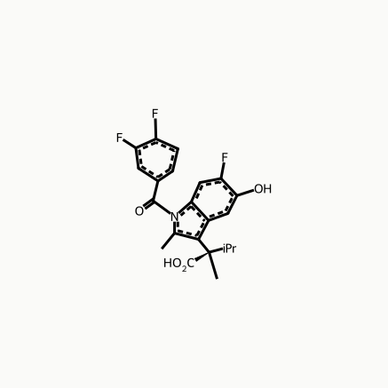 Cc1c([C@](C)(C(=O)O)C(C)C)c2cc(O)c(F)cc2n1C(=O)c1ccc(F)c(F)c1